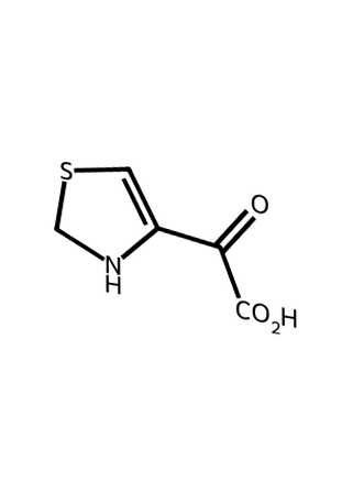 O=C(O)C(=O)C1=CSCN1